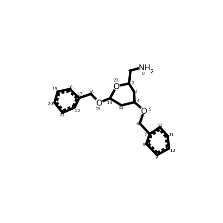 NCC1CC(OCc2ccccc2)CC(OCc2ccccc2)O1